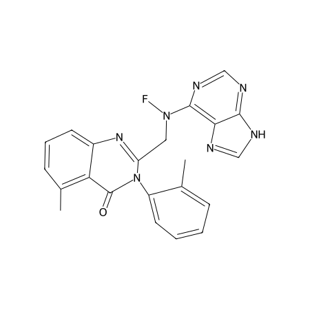 Cc1ccccc1-n1c(CN(F)c2ncnc3[nH]cnc23)nc2cccc(C)c2c1=O